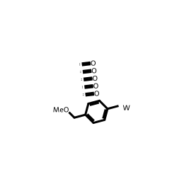 [CH]OCc1ccc(C)cc1.[C]=O.[C]=O.[C]=O.[C]=O.[C]=O.[W]